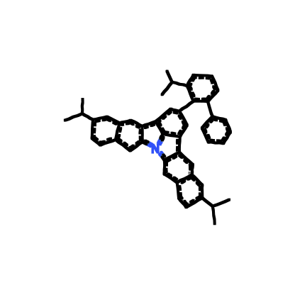 CC(C)c1ccc2cc3c(cc2c1)c1cc(-c2c(-c4ccccc4)cccc2C(C)C)cc2c4cc5cc(C(C)C)ccc5cc4n3c12